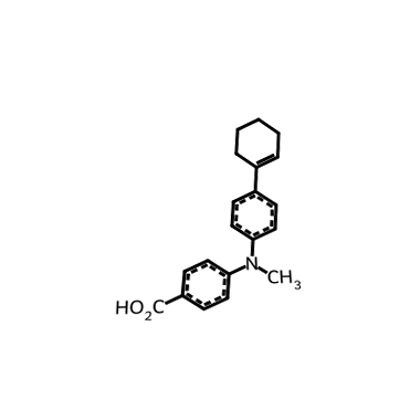 CN(c1ccc(C(=O)O)cc1)c1ccc(C2=CCCCC2)cc1